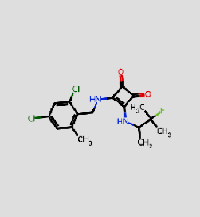 Cc1cc(Cl)cc(Cl)c1CNc1c(NC(C)C(C)(C)F)c(=O)c1=O